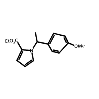 CCOC(=O)c1cccn1C(C)c1ccc(OC)cc1